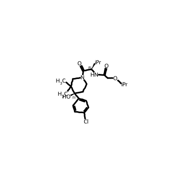 CC(C)OCC(=O)N[C@@H](C(=O)N1CC[C@](O)(c2ccc(Cl)cc2)C(C)(C)C1)C(C)C